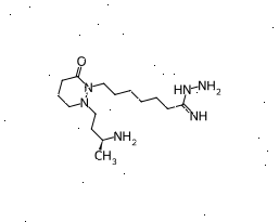 C[C@H](N)CCN1CCCC(=O)N1CCCCCCC(=N)NN